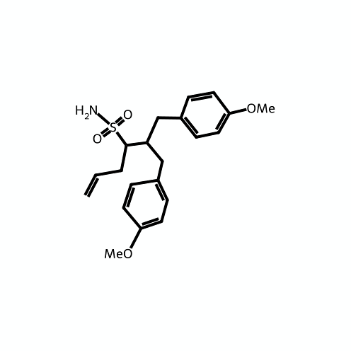 C=CCC(C(Cc1ccc(OC)cc1)Cc1ccc(OC)cc1)S(N)(=O)=O